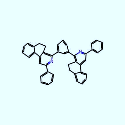 c1ccc(-c2cc3c(c(-c4cccc(-c5nc(-c6ccccc6)cc6c5CCc5ccccc5-6)c4)n2)CCc2ccccc2-3)cc1